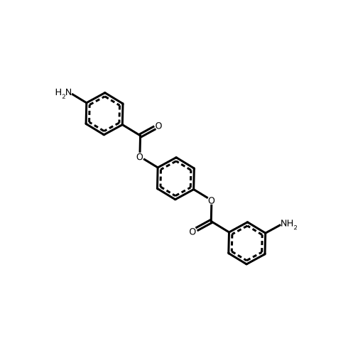 Nc1ccc(C(=O)Oc2ccc(OC(=O)c3cccc(N)c3)cc2)cc1